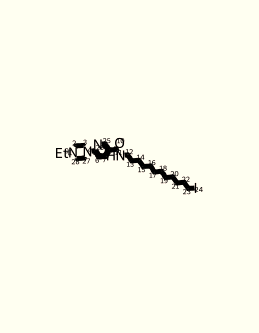 CCN1CCN(c2ccc(C(=O)NCCCCCCCCCCCCI)cn2)CC1